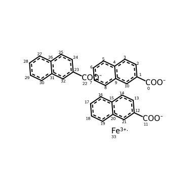 O=C([O-])c1ccc2ccccc2c1.O=C([O-])c1ccc2ccccc2c1.O=C([O-])c1ccc2ccccc2c1.[Fe+3]